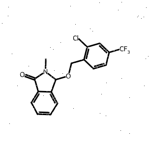 CN1C(=O)c2ccccc2C1OCc1ccc(C(F)(F)F)cc1Cl